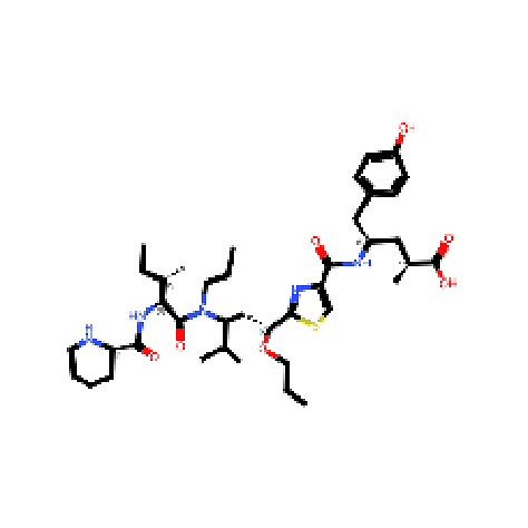 CCCO[C@H](CC(C(C)C)N(CCC)C(=O)[C@@H](NC(=O)[C@H]1CCCCN1)[C@@H](C)CC)c1nc(C(=O)N[C@@H](Cc2ccc(O)cc2)C[C@H](C)C(=O)O)cs1